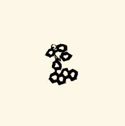 c1ccc(N(c2ccc(-c3cccc4ccc5c6ccccc6ccc5c34)cc2)c2cccc3oc4ccccc4c23)cc1